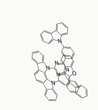 c1ccc(-c2nc(-c3cccc(-n4c5ccccc5c5ccccc54)c3)nc(-n3c4ccccc4c4ccc5c6ccccc6n(-c6cc(-c7ccccc7)c7oc8ccccc8c7c6)c5c43)n2)cc1